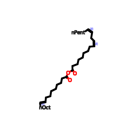 CCCCC/C=C\C/C=C\CCCCCCCC(=O)OC(=O)CCCCCCC/C=C/CCCCCCCC